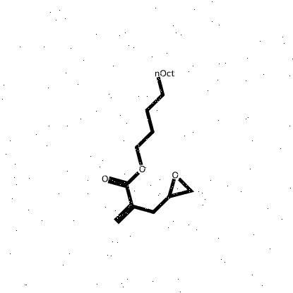 C=C(CC1CO1)C(=O)OCCCCCCCCCCCC